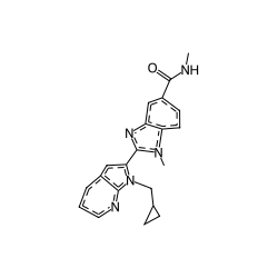 CNC(=O)c1ccc2c(c1)nc(-c1cc3cccnc3n1CC1CC1)n2C